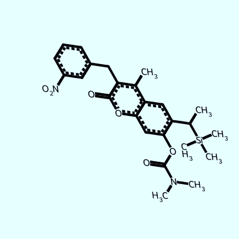 Cc1c(Cc2cccc([N+](=O)[O-])c2)c(=O)oc2cc(OC(=O)N(C)C)c(C(C)[Si](C)(C)C)cc12